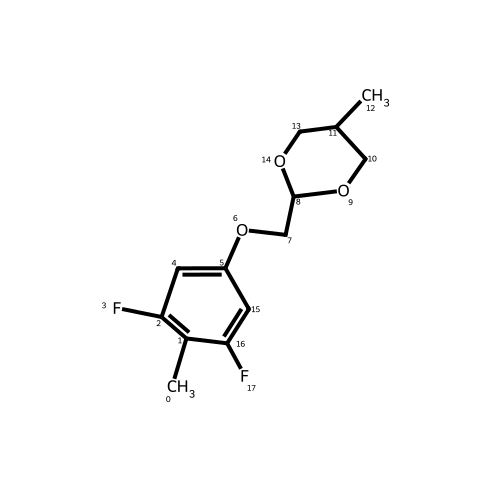 Cc1c(F)cc(OCC2OCC(C)CO2)cc1F